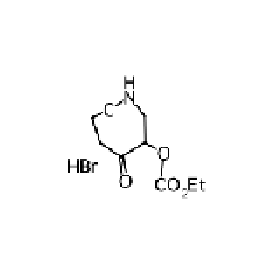 Br.CCOC(=O)OC1CNCCCC1=O